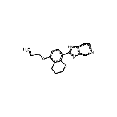 C=CCOc1ccc(-c2nc3cnccc3[nH]2)c2c1CCCS2